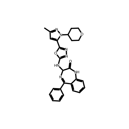 Cc1cc(-c2nnc(NC3N=C(c4ccccc4)c4ccccc4NC3=O)o2)n(C2CCOCC2)n1